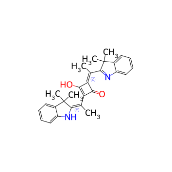 C/C(C1=Nc2ccccc2C1(C)C)=C1/C(=O)C(C(/C)=C2/Nc3ccccc3C2(C)C)=C1O